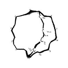 [CH]1CCC[CH]C2CCCCCC1CCCCC2